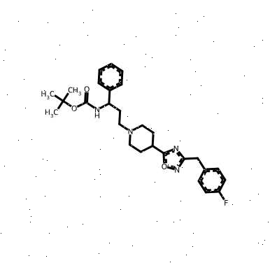 CC(C)(C)OC(=O)NC(CCN1CCC(c2nc(Cc3ccc(F)cc3)no2)CC1)c1ccccc1